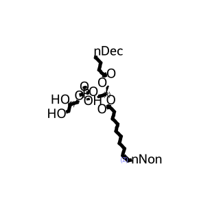 CCCCCCCCC/C=C\CCCCCCCC(=O)O[C@H](COC(=O)CCCCCCCCCCCCC)COP(=O)(O)OC[C@@H](O)CO